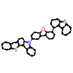 c1ccc2c(c1)sc1c2ccc2c1c1ccccc1n2-c1ccc2oc3c(-c4cccc5sc6ccccc6c45)cccc3c2c1